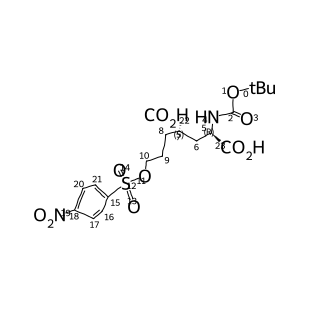 CC(C)(C)OC(=O)N[C@H](C[C@H](CCCOS(=O)(=O)c1ccc([N+](=O)[O-])cc1)C(=O)O)C(=O)O